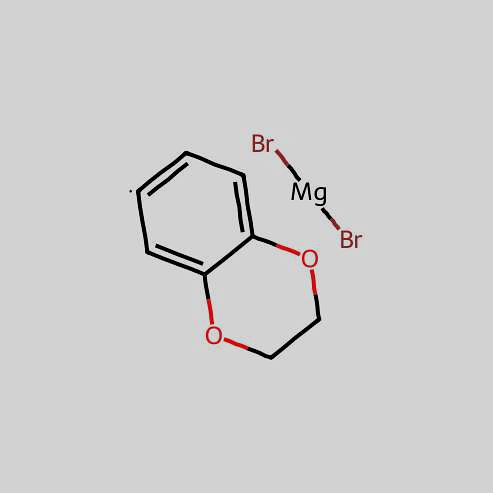 [Br][Mg][Br].[c]1ccc2c(c1)OCCO2